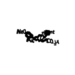 CCCCCC(CCCC(CCCCCCC(=O)O)(C(C)=O)c1ccc(OC)cc1)OCc1ccccc1